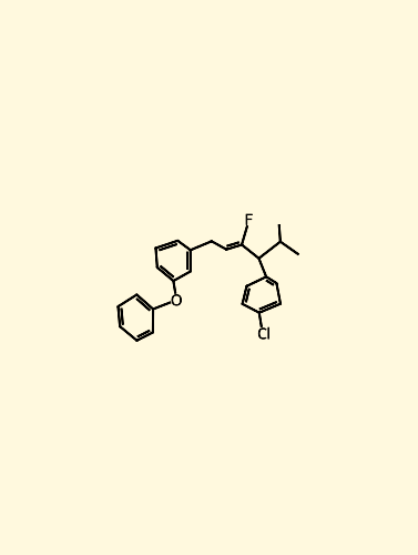 CC(C)C(C(F)=CCc1cccc(Oc2ccccc2)c1)c1ccc(Cl)cc1